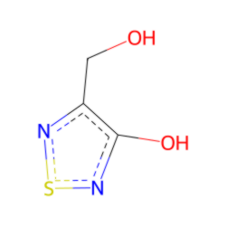 OCc1nsnc1O